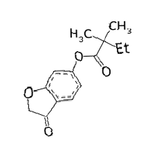 CCC(C)(C)C(=O)Oc1ccc2c(c1)OCC2=O